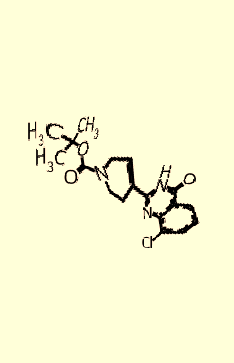 CC(C)(C)OC(=O)N1CC=C(c2nc3c(Cl)cccc3c(=O)[nH]2)CC1